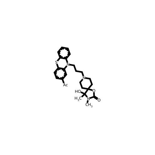 CC(=O)c1ccc2c(c1)N(CCCN1CCC3(CC1)OC(=O)N(C)C3(C)O)c1ccccc1S2